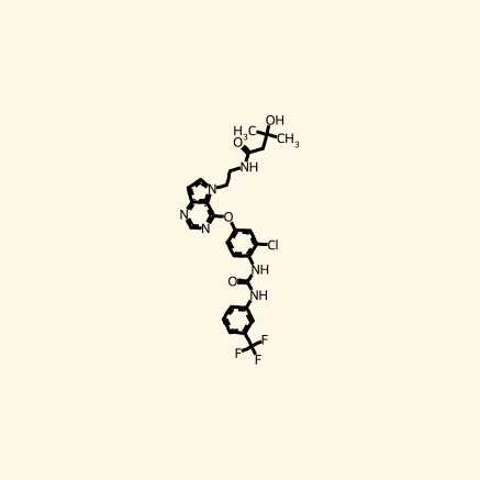 CC(C)(O)CC(=O)NCCn1ccc2ncnc(Oc3ccc(NC(=O)Nc4cccc(C(F)(F)F)c4)c(Cl)c3)c21